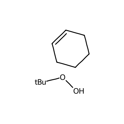 C1=CCCCC1.CC(C)(C)OO